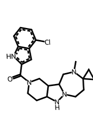 CN1CC2C3CN(C(=O)c4cc5c(Cl)cccc5[nH]4)CCC3NN2CCC12CC2